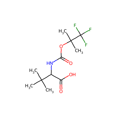 CC(C)(C)C(NC(=O)OC(C)(C)C(F)(F)F)C(=O)O